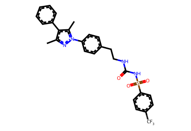 Cc1nn(-c2ccc(CCNC(=O)NS(=O)(=O)c3ccc(C(F)(F)F)cc3)cc2)c(C)c1-c1ccccc1